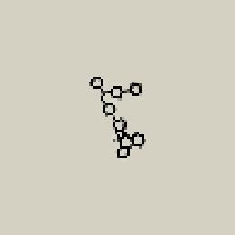 c1ccc(-c2ccc(C(Cc3ccc(-c4ccc5c(c4)oc4c6ccccc6c6ccccc6c54)cc3)c3ccccc3)cc2)cc1